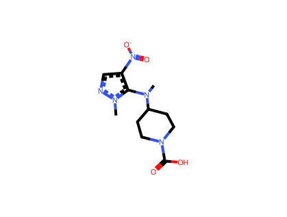 CN(c1c([N+](=O)[O-])cnn1C)C1CCN(C(=O)O)CC1